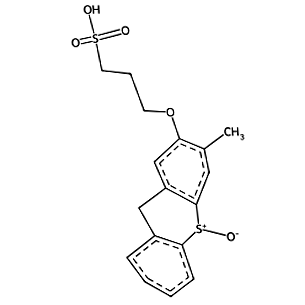 Cc1cc2c(cc1OCCCS(=O)(=O)O)Cc1ccccc1[S+]2[O-]